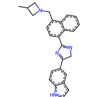 CC1CN(Cc2ccc(C3=NCC(c4ccc5[nH]ccc5c4)=N3)c3ccccc23)C1